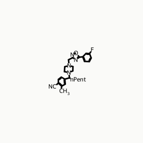 CCCCCC(c1ccc(C#N)c(C)c1)N1CCN(Cc2noc(-c3cccc(F)c3)n2)CC1